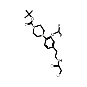 CC(C)(C)OC(=O)N1CCN(c2ccc(CCNC(=O)CCl)cc2OC(F)F)CC1